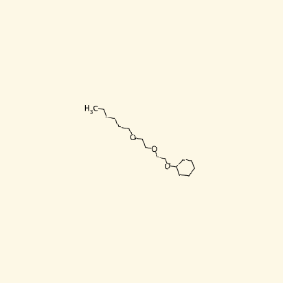 CCCCCCOCCOCCOC1CCCCC1